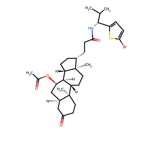 CC(=O)O[C@@H]1C[C@@H]2CC(=O)CC[C@]2(C)[C@H]2CC[C@]3(C)[C@@H](CCC(=O)N[C@@H](c4ccc(Br)s4)C(C)C)CC[C@H]3[C@H]12